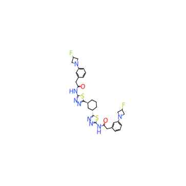 O=C(Cc1cccc(N2CC(F)C2)c1)Nc1nnc([C@H]2CCC[C@H](c3nnc(NC(=O)Cc4cccc(N5CC(F)C5)c4)s3)C2)s1